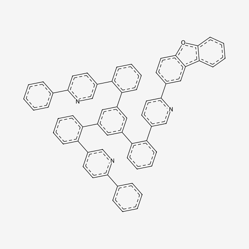 c1ccc(-c2ccc(-c3ccccc3-c3cc(-c4ccccc4-c4ccc(-c5ccccc5)nc4)cc(-c4ccccc4-c4ccc(-c5ccc6oc7ccccc7c6c5)nc4)c3)cn2)cc1